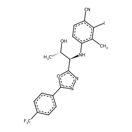 Cc1c(N[C@@H](c2nnc(-c3ccc(C(F)(F)F)cc3)o2)[C@H](C)O)ccc(C#N)c1I